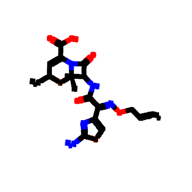 C=CCON=C(C(=O)NC1C(=O)N2C(C(=O)O)=CC(C)S[C@@H]12)c1csc(N)n1